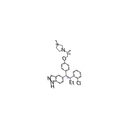 CC/C(=C(/c1ccc(OC[C@H](C)N2CC[C@@H](C)C2)cc1)c1ccc2[nH]ncc2c1)c1ccccc1Cl